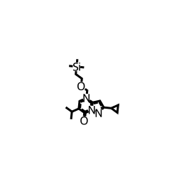 CC(C)c1cn(COCC[Si](C)(C)C)c2cc(C3CC3)nn2c1=O